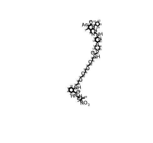 CC(=O)c1c(C)c2cnc(Nc3ccc(N4CCN(CC(=O)NCCOCCOCCOCCOCCCNc5ccccc5C(=O)Nc5nc(C)c([N+](=O)[O-])s5)CC4)cn3)nc2n(C2CCCC2)c1=O